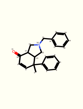 CC1(c2ccccc2)C=CC(=O)C2CN(Cc3ccccc3)CC21